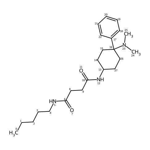 CCCCCNC(=O)CCC(=O)NC1CCC(c2ccccc2)(N(C)C)CC1